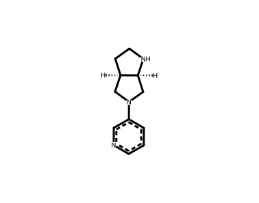 c1cncc(N2C[C@H]3CCN[C@H]3C2)c1